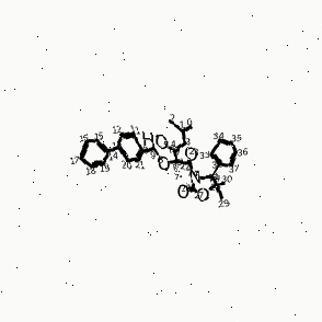 CC(C)C[C@H](O)[C@](C)(OCc1ccc(-c2ccccc2)cc1)C(=O)N1C(=O)OC(C)(C)[C@@H]1c1ccccc1